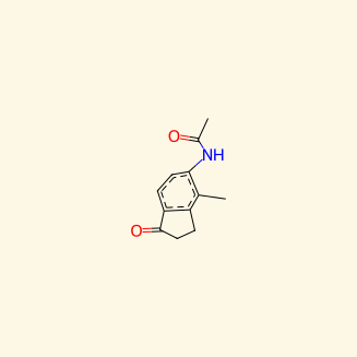 CC(=O)Nc1ccc2c(c1C)CCC2=O